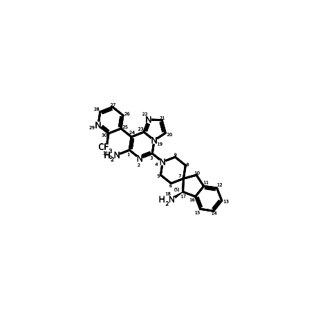 Nc1nc(N2CCC3(CC2)Cc2ccccc2[C@H]3N)n2ccnc2c1-c1cccnc1C(F)(F)F